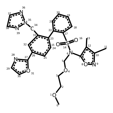 COCCOCN(c1onc(C)c1C)S(=O)(=O)c1ccccc1-c1ccc(-c2ncco2)cc1Cn1nccn1